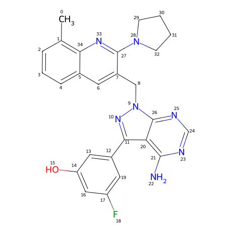 Cc1cccc2cc(Cn3nc(-c4cc(O)cc(F)c4)c4c(N)ncnc43)c(N3CCCC3)nc12